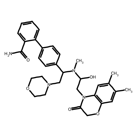 Cc1cc2c(cc1C)N(CC(O)N(C)C(CN1CCOCC1)c1ccc(-c3ccccc3C(N)=O)cc1)C(=O)CO2